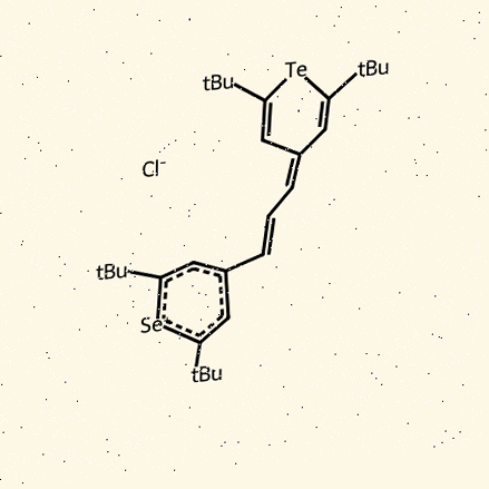 CC(C)(C)C1=CC(=CC=Cc2cc(C(C)(C)C)[se+]c(C(C)(C)C)c2)C=C(C(C)(C)C)[Te]1.[Cl-]